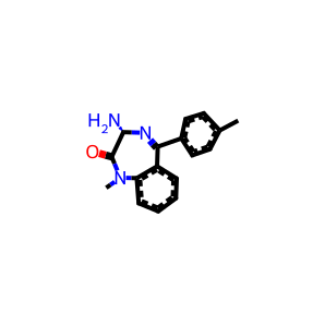 Cc1ccc(C2=N[C@@H](N)C(=O)N(C)c3ccccc32)cc1